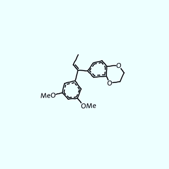 C/C=C(/c1cc(OC)cc(OC)c1)c1ccc2c(c1)OCCO2